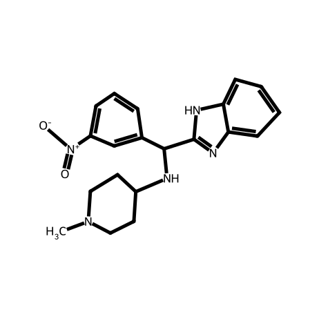 CN1CCC(NC(c2cccc([N+](=O)[O-])c2)c2nc3ccccc3[nH]2)CC1